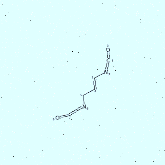 O=C=NC=CCN=C=O